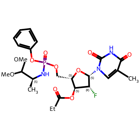 CCC(=O)O[C@@H]1[C@@H](F)[C@@H](n2cc(C)c(=O)[nH]c2=O)O[C@H]1COP(=O)(N[C@@H](C)C(OC)OC)Oc1ccccc1